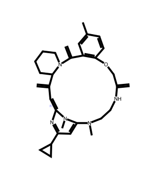 C=C1COc2ccc(C)cc2C(=C)N2CCCCC2C(=C)/C=C2/N=C(C3CC3)C=C(N(C)CCN1)N2C